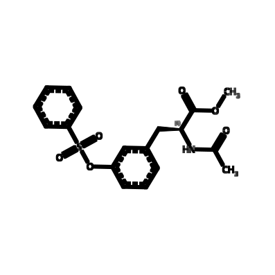 COC(=O)[C@H](Cc1cccc(OS(=O)(=O)c2ccccc2)c1)NC(C)=O